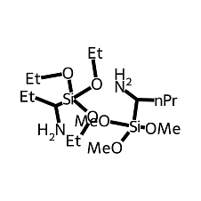 CCCC(N)[Si](OC)(OC)OC.CCO[Si](OCC)(OCC)C(N)CC